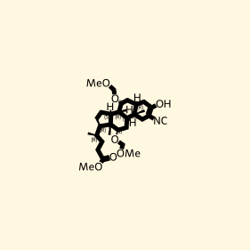 [C-]#[N+]C1=C(O)C[C@H]2C[C@@H](OCOC)[C@@H]3[C@H](C[C@H](OCOC)[C@]4(C)[C@@H]([C@H](C)CCC(=O)OC)CC[C@@H]34)[C@@]2(C)C1